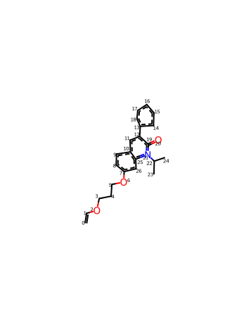 C=COCCCOc1ccc2cc(-c3ccccc3)c(=O)n(C(C)C)c2c1